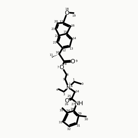 CC[N+](CC)(CCOC(=O)[C@H](C)c1ccc2cc(OC)ccc2c1)CC(=O)Nc1c(C)cccc1C